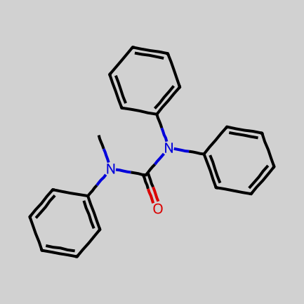 CN(C(=O)N(c1ccccc1)c1ccccc1)c1ccccc1